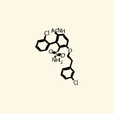 CC(=O)Nc1ccc(OCCc2cccc(Cl)c2)c(S(N)(=O)=O)c1-c1ccccc1Cl